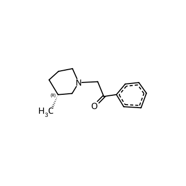 C[C@@H]1CCCN(CC(=O)c2ccccc2)C1